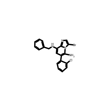 Nc1c(-c2ccccc2Cl)cc(NCc2ccccc2)c2ncc(Br)n12